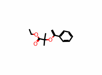 C=C(OC(C)(C)C(=O)OCC)c1ccccc1